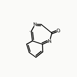 O=c1cn[c]c2ccccc2n1